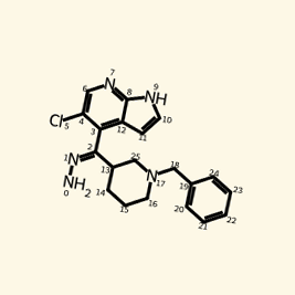 N/N=C(/c1c(Cl)cnc2[nH]ccc12)C1CCCN(Cc2ccccc2)C1